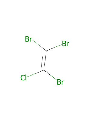 ClC(Br)=C(Br)Br